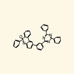 O=S1(c2ccccc2)=Nc2ccc(-c3cccc(-c4nc(-c5ccccc5)nc(-c5ccccc5)n4)c3)cc2-c2ccccc21